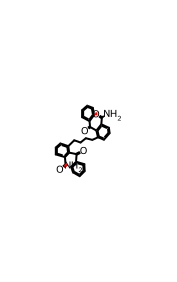 NC(=O)c1cccc(CCCCc2cccc(C(N)=O)c2C(=O)c2ccccc2)c1C(=O)c1ccccc1